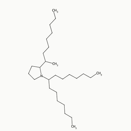 CCCCCCCC(C)C1CCCN1C(CCCCCCC)CCCCCCC